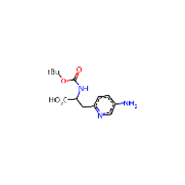 CC(C)(C)OC(=O)NC(Cc1ccc(N)cn1)C(=O)O